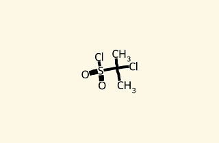 CC(C)(Cl)S(=O)(=O)Cl